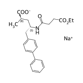 CCOC(=O)CCC(=O)N[C@H](Cc1ccc(-c2ccccc2)cc1)C[C@@H](C)C(=O)[O-].[Na+]